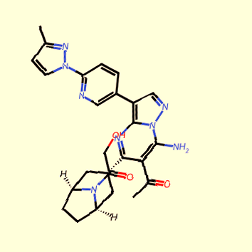 CC(=O)c1c([C@@H]2C[C@H]3CC[C@@H](C2)N3C(=O)CO)nc2c(-c3ccc(-n4ccc(C)n4)nc3)cnn2c1N